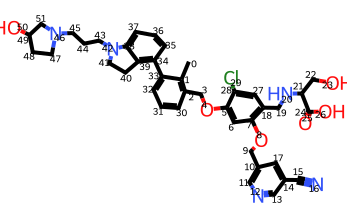 Cc1c(COc2cc(OCc3cncc(C#N)c3)c(CNC(CO)C(=O)O)cc2Cl)cccc1-c1cccc2c1CCN2CCCN1CCC(O)C1